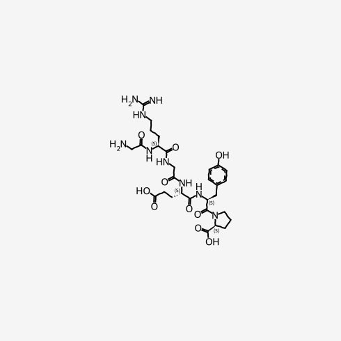 N=C(N)NCCC[C@H](NC(=O)CN)C(=O)NCC(=O)N[C@@H](CCC(=O)O)C(=O)N[C@@H](Cc1ccc(O)cc1)C(=O)N1CCC[C@H]1C(=O)O